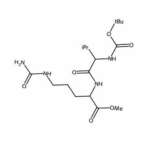 COC(=O)C(CCCNC(N)=O)NC(=O)C(NC(=O)OC(C)(C)C)C(C)C